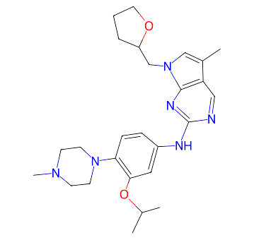 Cc1cn(CC2CCCO2)c2nc(Nc3ccc(N4CCN(C)CC4)c(OC(C)C)c3)ncc12